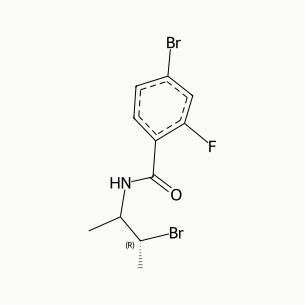 CC(NC(=O)c1ccc(Br)cc1F)[C@@H](C)Br